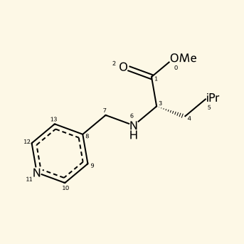 COC(=O)[C@H](CC(C)C)NCc1ccncc1